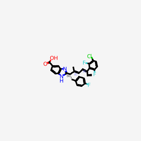 C=C/C(=C\C=C(/C)[C@H](Cc1ccc(F)cc1)c1nc2cc(C(=O)O)ccc2[nH]1)c1c(F)ccc(Cl)c1F